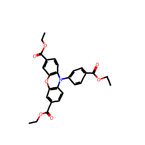 CCOC(=O)c1ccc(N2c3ccc(C(=O)OCC)cc3Oc3cc(C(=O)OCC)ccc32)cc1